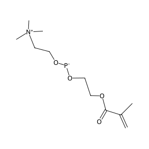 C=C(C)C(=O)OCCO[P-]OCC[N+](C)(C)C